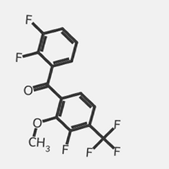 COc1c(C(=O)c2cccc(F)c2F)ccc(C(F)(F)F)c1F